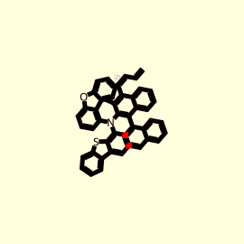 C=C/C=C\c1c(C)c(N(c2cccc3c2sc2ccccc23)c2cccc3oc4ccccc4c23)c(-c2cccc3ccccc23)c2ccccc12